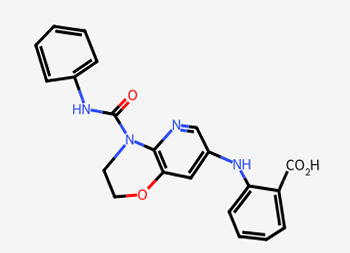 O=C(O)c1ccccc1Nc1cnc2c(c1)OCCN2C(=O)Nc1ccccc1